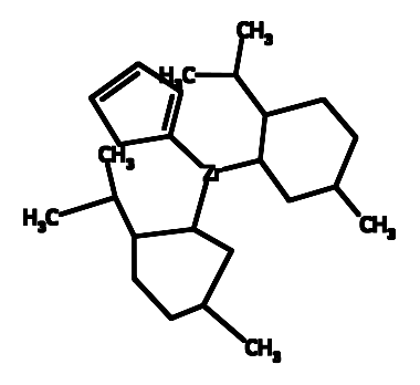 CC1CCC(C(C)C)[CH]([Zr]([C]2=CC=CC2)[CH]2CC(C)CCC2C(C)C)C1